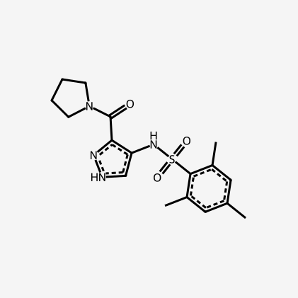 Cc1cc(C)c(S(=O)(=O)Nc2c[nH]nc2C(=O)N2CCCC2)c(C)c1